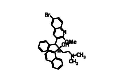 COc1nc2ccc(Br)cc2cc1C(c1ccccc1)[C@](O)(CCN(C)C)c1cccc2ccccc12